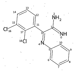 N=C(N)C(=Nc1ccccc1)c1cccc(Cl)c1Cl